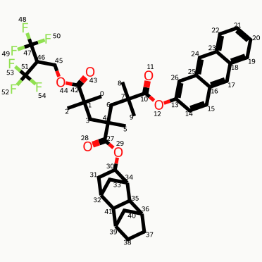 CC(C)(CC(C)(CC(C)(C)C(=O)Oc1ccc2cc3ccccc3cc2c1)C(=O)OC1CC2CC1C1C3CCC(C3)C21)C(=O)OCC(C(F)(F)F)C(F)(F)F